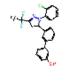 Oc1cccc(-c2cccc(C3CC(C(F)(F)C(F)(F)F)=NN3c3ccccc3Cl)c2)c1